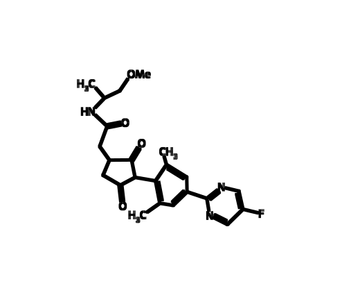 COCC(C)NC(=O)CC1CC(=O)C(c2c(C)cc(-c3ncc(F)cn3)cc2C)C1=O